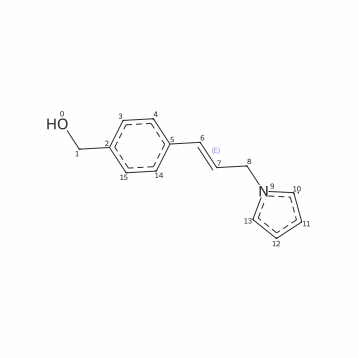 OCc1ccc(/C=C/Cn2[c]ccc2)cc1